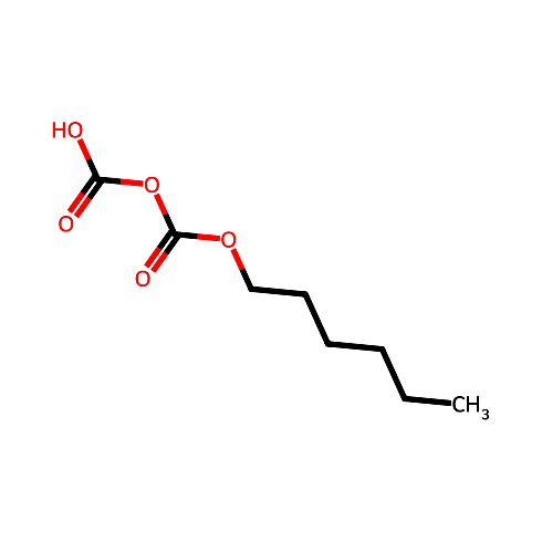 CCCCCCOC(=O)OC(=O)O